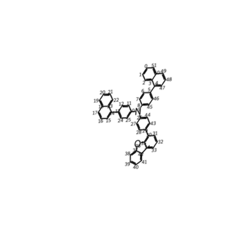 c1ccc2c(-c3ccc(N(c4ccc(-c5cccc6ccccc56)cc4)c4ccc(-c5cccc6c5oc5ccccc56)cc4)cc3)cccc2c1